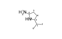 CC(C)C1CCC(N)N1